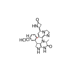 CC1=CC(=C2CC(=O)N2)N2CC=NC2=C1N1C2=C(NCC2c2ccccc2)NC(=O)C1C.Cl.Cl